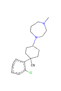 CN1CCCN(C2CCC(C#N)(c3ccccc3Cl)CC2)CC1